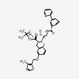 Cc1ncoc1COc1ccc2c(c1)CN(C(=O)OC(C)(C)C)[C@H]([C@H](O)CNC(=O)c1cccc(-c3ccccn3)c1)C2